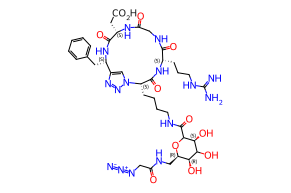 [N-]=[N+]=NCC(=O)NC[C@H]1OC(C(=O)NCCCC[C@H]2C(=O)N[C@@H](CCCNC(=N)N)C(=O)NCC(=O)N[C@@H](CC(=O)O)C(=O)N[C@@H](Cc3ccccc3)c3cn2nn3)[C@@H](O)C(O)[C@H]1O